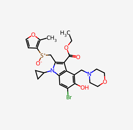 CCOC(=O)c1c(C[S+]([O-])c2ccoc2C)n(C2CC2)c2cc(Br)c(O)c(CN3CCOCC3)c12